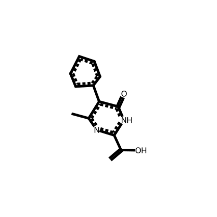 C=C(O)c1nc(C)c(-c2ccccc2)c(=O)[nH]1